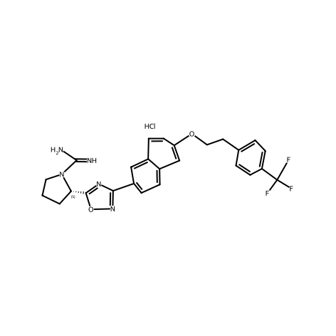 Cl.N=C(N)N1CCC[C@H]1c1nc(-c2ccc3cc(OCCc4ccc(C(F)(F)F)cc4)ccc3c2)no1